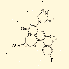 CO[C@@H]1CSc2c(-c3ccc(F)cc3F)c(C(F)(F)F)cc3c(N4C[C@@H](C)N(C)[C@@H](C)C4)nc(=O)n(c23)C1